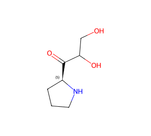 O=C(C(O)CO)[C@@H]1CCCN1